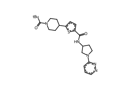 CC(C)(C)C(=O)N1CCC(c2ccc(C(=O)NC3CCN(c4cccnn4)C3)s2)CC1